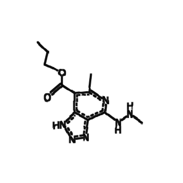 CCCOC(=O)c1c(C)nc(NNC)c2nn[nH]c12